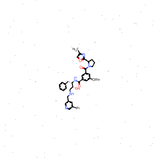 COc1cc(C(=O)N[C@@H](Cc2ccccc2)[C@H](O)CNCc2cncc(C(C)C)c2)cc(C(=O)N2CCCC2c2nc(C)co2)c1